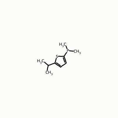 CC(C)c1ccc(P(C)C)s1